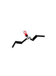 CC=[CH][Sn](=[O])[CH]=CC